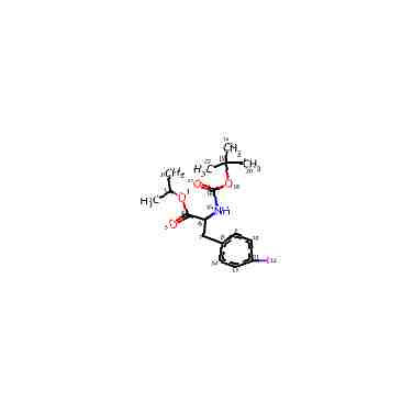 CC(C)OC(=O)C(Cc1ccc(I)cc1)NC(=O)OC(C)(C)C